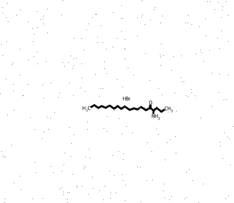 Br.CCCCCCCCCCCCCCCC(=O)C(N)CCC